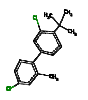 Cc1cc(Cl)ccc1-c1ccc(C(C)(C)C)c(Cl)c1